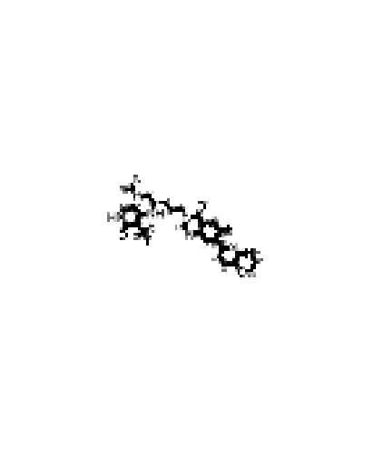 O=c1[nH]ncc(N[C@H](CCCn2cnc3cc(-c4ccc5c(n4)NCCO5)c(F)cc3c2=O)COC(F)F)c1C(F)(F)F